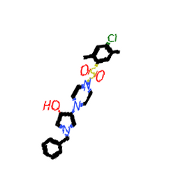 Cc1cc(S(=O)(=O)N2CCN([C@H]3CN(Cc4ccccc4)C[C@@H]3O)CC2)c(C)cc1Cl